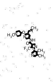 C=NCc1cc(NC(=O)c2cnn(-c3cncc(C)c3C)c2C(F)(F)F)cnc1OC1CCN(C)CC1